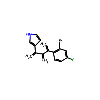 C=C(C(=C)c1cc[nH]c1)C(=C)c1ccc(F)cc1C(C)C